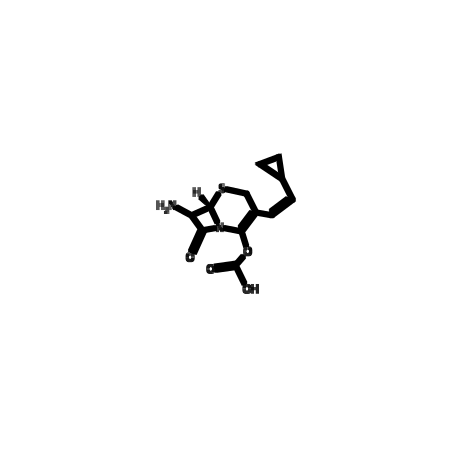 NC1C(=O)N2C(OC(=O)O)=C(/C=C\C3CC3)CS[C@@H]12